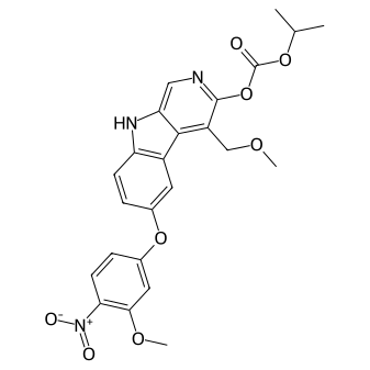 COCc1c(OC(=O)OC(C)C)ncc2[nH]c3ccc(Oc4ccc([N+](=O)[O-])c(OC)c4)cc3c12